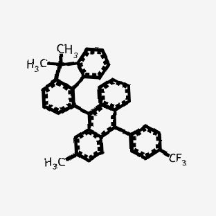 Cc1ccc2c(-c3ccc(C(F)(F)F)cc3)c3ccccc3c(-c3cccc4c3-c3ccccc3C4(C)C)c2c1